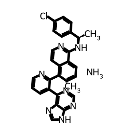 Cc1ccc2c(N[C@H](C)c3ccc(Cl)cc3)nccc2c1-c1ncccc1-c1ncnc2[nH]cnc12.N